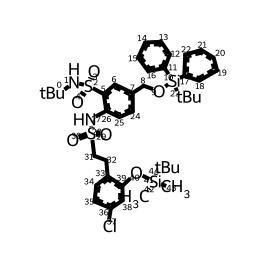 CC(C)(C)NS(=O)(=O)c1cc(CO[Si](c2ccccc2)(c2ccccc2)C(C)(C)C)ccc1NS(=O)(=O)CCc1ccc(Cl)cc1O[Si](C)(C)C(C)(C)C